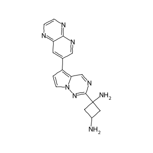 NC1CC(N)(c2ncc3c(-c4cnc5nccnc5c4)ccn3n2)C1